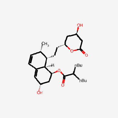 CCCCC(CCCC)C(=O)O[C@H]1C[C@H](O)C=C2C=C[C@H](C)[C@H](CC[C@@H]3C[C@@H](O)CC(=O)O3)[C@H]21